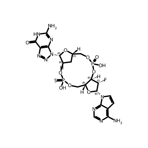 Nc1nc2c(nnn2[C@@H]2O[C@@H]3COP(=O)(O)O[C@H]4[C@H](F)[C@H](n5ccc6c(N)ncnc65)O[C@@H]4COP(O)(=S)O[C@@H]2C3)c(=O)[nH]1